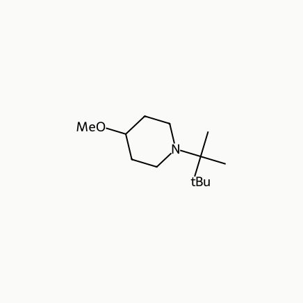 COC1CCN(C(C)(C)C(C)(C)C)CC1